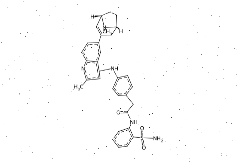 Cc1cc(Nc2ccc(CC(=O)Nc3ccccc3S(N)(=O)=O)cc2)c2cc(C3=C[C@@H]4CC[C@H](C3)N4C)ccc2n1